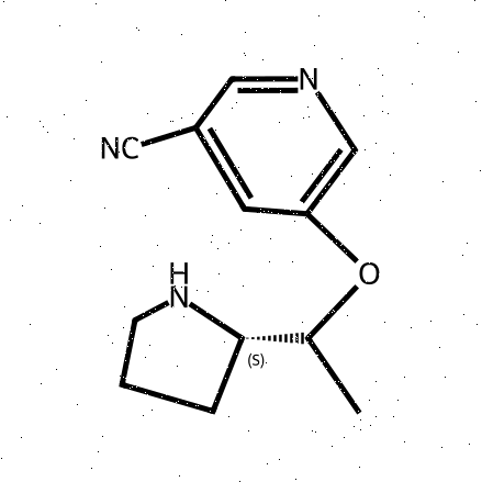 CC(Oc1cncc(C#N)c1)[C@@H]1CCCN1